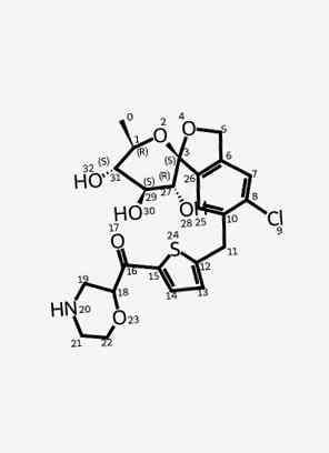 C[C@H]1O[C@]2(OCc3cc(Cl)c(Cc4ccc(C(=O)C5CNCCO5)s4)cc32)[C@H](O)[C@@H](O)[C@@H]1O